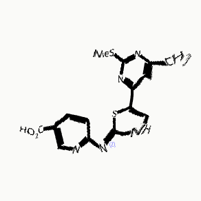 CSc1nc(C)cc(-c2c[nH]/c(=N/c3ccc(C(=O)O)cn3)s2)n1